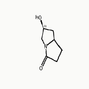 O=C1CCC2C[C@H](O)CN12